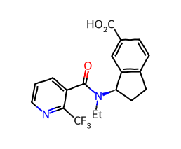 CCN(C(=O)c1cccnc1C(F)(F)F)[C@@H]1CCc2ccc(C(=O)O)cc21